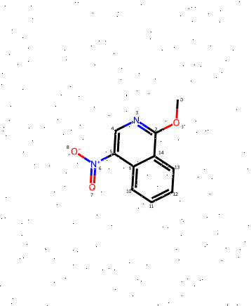 COc1ncc([N+](=O)[O-])c2ccccc12